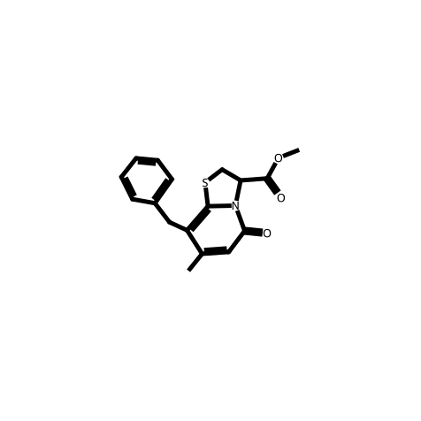 COC(=O)C1CSc2c(Cc3ccccc3)c(C)cc(=O)n21